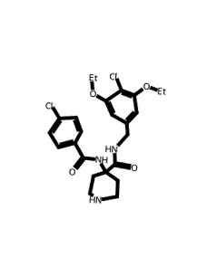 CCOc1cc(CNC(=O)C2(NC(=O)c3ccc(Cl)cc3)CCNCC2)cc(OCC)c1Cl